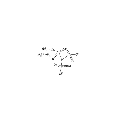 N.N.N.O=S(=O)(O)N(S(=O)(=O)O)S(=O)(=O)O